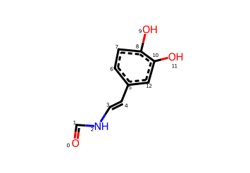 O=CNC=Cc1ccc(O)c(O)c1